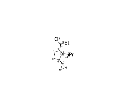 CCC(=O)[C@@H]1CC[C@H](C2CC2)N1C(C)C